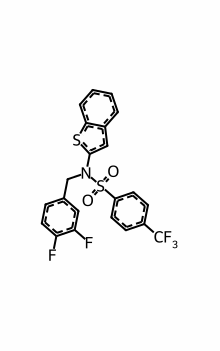 O=S(=O)(c1ccc(C(F)(F)F)cc1)N(Cc1ccc(F)c(F)c1)c1cc2ccccc2s1